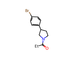 CCC(=O)N1CCC(c2ccc(Br)cc2)C1